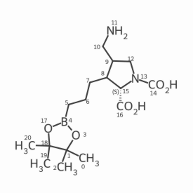 CC1(C)OB(CCCC2C(CN)CN(C(=O)O)[C@@H]2C(=O)O)OC1(C)C